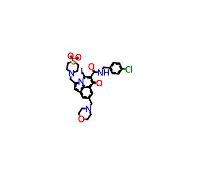 O=C(NCc1ccc(Cl)cc1)c1c(I)n2c(CN3CCS(=O)(=O)CC3)cc3cc(CN4CCOCC4)cc(c1=O)c32